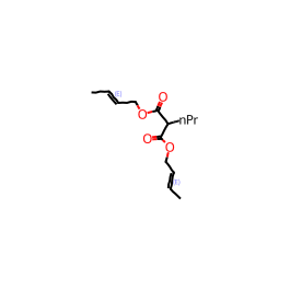 C/C=C/COC(=O)C(CCC)C(=O)OC/C=C/C